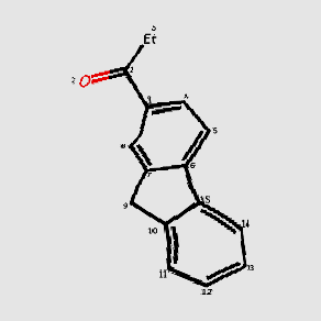 CCC(=O)c1ccc2c(c1)Cc1ccccc1-2